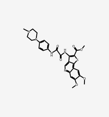 COC(=O)c1sc2c(cnc3cc(OC)c(OC)cc32)c1NC(=O)C(=O)Nc1ccc(N2CCN(C)CC2)cc1